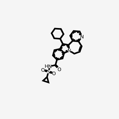 O=C(NS(=O)(=O)C1CC1)c1ccc2c(C3CCCCC3)c3n(c2c1)CC=Cc1ncccc1-3